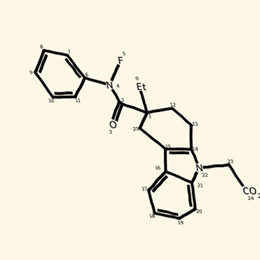 CCC1(C(=O)N(F)c2ccccc2)CCc2c(c3ccccc3n2CC(=O)O)C1